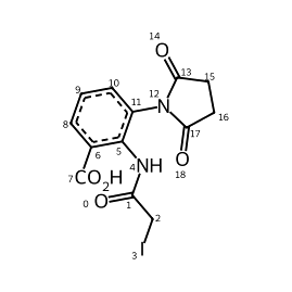 O=C(CI)Nc1c(C(=O)O)cccc1N1C(=O)CCC1=O